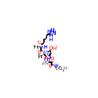 CCCC(NC(=O)[C@@H]1C[C@@H](O)CN1C(=O)[C@@H](NC(=O)[C@H](NC(=O)CCCCc1nnn[nH]1)C(C)C)C(C)C)C(=O)C(=O)NCC(=O)O